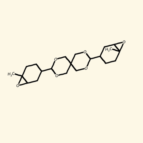 CC12CCC(C3OCC4(CO3)COC(C3CCC5(C)OC5C3)OC4)CC1O2